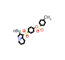 CCCCc1cn2ccccc2c1S(=O)(=O)c1ccc(OS(=O)(=O)c2ccc(C)cc2)cc1